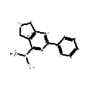 CN(C)c1nc(-c2ccccc2)nc2c1CSC2